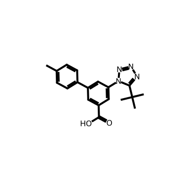 Cc1ccc(-c2cc(C(=O)O)cc(-n3nnnc3C(C)(C)C)c2)cc1